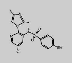 Cc1cn(-c2ncc(Cl)cc2NS(=O)(=O)c2ccc(C(C)(C)C)cc2)c(C)n1